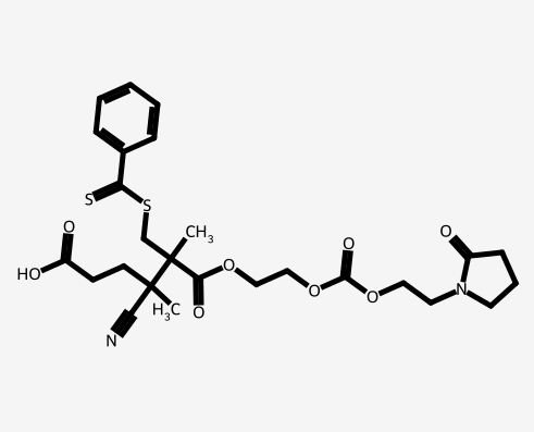 CC(C#N)(CCC(=O)O)C(C)(CSC(=S)c1ccccc1)C(=O)OCCOC(=O)OCCN1CCCC1=O